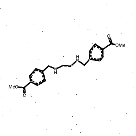 COC(=O)c1ccc(CNCCNCc2ccc(C(=O)OC)cc2)cc1